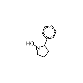 ON1CCCC1c1ccccc1